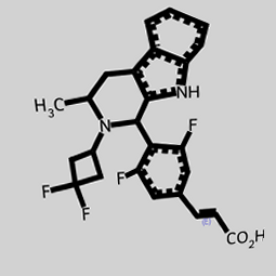 CC1Cc2c([nH]c3ccccc23)C(c2c(F)cc(/C=C/C(=O)O)cc2F)N1C1CC(F)(F)C1